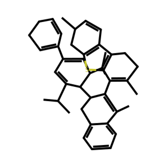 CC1=C(C2=C(C)c3ccccc3CC2C2C(C(C)C)=CC(C3=CCCC=C3)=CC2C(C)C)c2sc3c(c2CC1)C=CC(C)C3